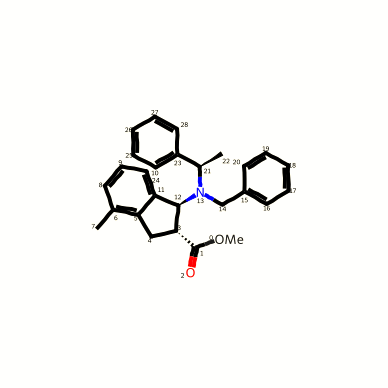 COC(=O)[C@@H]1Cc2c(C)cccc2[C@H]1N(Cc1ccccc1)[C@H](C)c1ccccc1